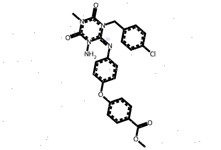 COC(=O)c1ccc(Oc2ccc(/N=c3\n(N)c(=O)n(C)c(=O)n3Cc3ccc(Cl)cc3)cc2)cc1